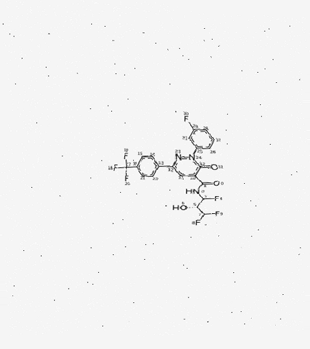 O=C(NC(F)[C@@H](O)C(F)F)c1cc(-c2ccc(C(F)(F)F)cc2)nn(-c2cccc(F)c2)c1=O